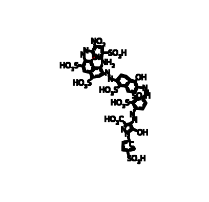 Nc1c(N=Nc2ccc3c(O)c(/N=N\c4ccc(N=Nc5c(C(=O)O)nn(-c6ccc(S(=O)(=O)O)cc6)c5O)c(S(=O)(=O)O)c4)c(S(=O)(=O)O)cc3c2S(=O)(=O)O)cc(S(=O)(=O)O)c2cc(S(=O)(=O)O)c(/N=N\c3ccc(S(=O)(=O)O)cc3[N+](=O)[O-])c(O)c12